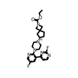 CCOC(=O)N1CC2(CC[C@@H](N3CCN(c4ncc(F)cc4-c4ccnc(F)n4)CC3)C2)C1